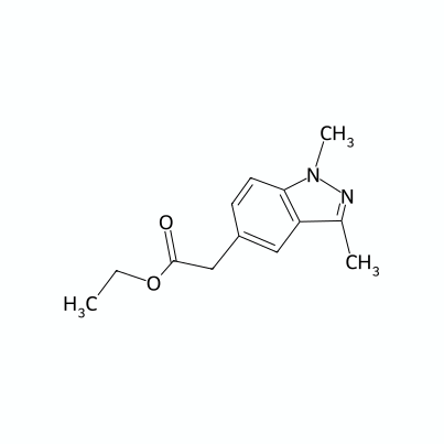 CCOC(=O)Cc1ccc2c(c1)c(C)nn2C